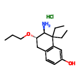 CCCO[C@H]1Cc2ccc(O)cc2C(CC)(CC)[C@@H]1N.Cl